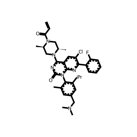 C=CC(=O)N1C[C@H](C)N(c2nc(=O)n(-c3c(C)cc(CN(C)C)cc3C(C)C)c3nc(-c4ccccc4F)c(Cl)cc23)C[C@H]1C